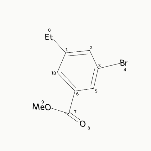 CCc1cc(Br)cc(C(=O)OC)c1